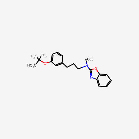 CCCCCCCCN(CCCc1cccc(OC(C)(C)C(=O)O)c1)c1nc2ccccc2o1